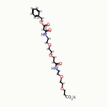 O=C(O)CCOCCOCCNC(=O)CCOCCOCCNC(=O)CC(=O)OCc1ccccc1